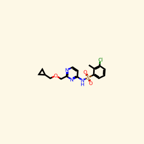 Cc1c(Cl)cccc1S(=O)(=O)Nc1ccnc(COCC2CC2)n1